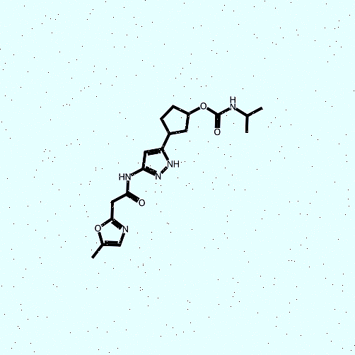 Cc1cnc(CC(=O)Nc2cc(C3CCC(OC(=O)NC(C)C)C3)[nH]n2)o1